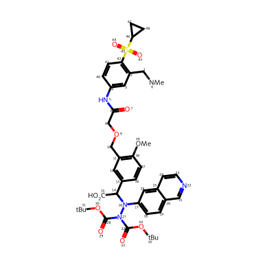 CNCc1cc(NC(=O)COCc2cc(C(C(=O)O)N(c3ccc4cnccc4c3)N(C(=O)OC(C)(C)C)C(=O)OC(C)(C)C)ccc2OC)ccc1S(=O)(=O)C1CC1